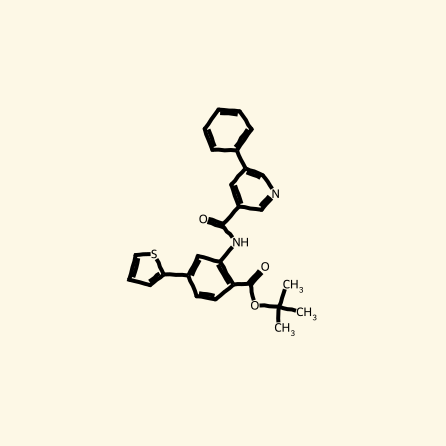 CC(C)(C)OC(=O)c1ccc(-c2cccs2)cc1NC(=O)c1cncc(-c2ccccc2)c1